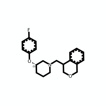 Fc1ccc(O[C@H]2CCCN(CC3COCc4ccccc43)C2)cc1